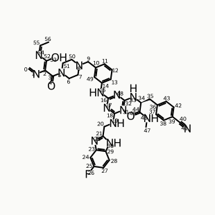 C=N/C(C(=O)N1CCN(Cc2cccc(Nc3nc(NCc4nc5cc(F)ccc5[nH]4)nc(N[C@@H](Cc4ccc(C#N)cc4)C(=O)NC)n3)c2)CC1)=C(O)\N=C/C